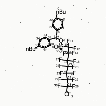 CCCCc1ccc([I+](OS(=O)(=O)C(F)(F)C(F)(F)C(F)(F)C(F)(F)C(F)(F)C(F)(F)C(F)(F)C(F)(F)F)c2ccc(CCCC)cc2)cc1